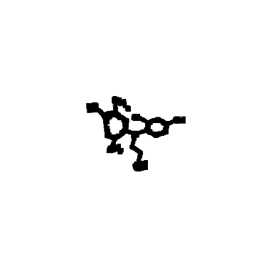 Cc1cc(N(CCO)c2ccc(O)cc2Cl)c(N)cc1O